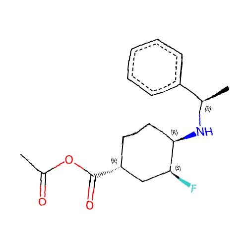 CC(=O)OC(=O)[C@@H]1CC[C@@H](N[C@H](C)c2ccccc2)[C@@H](F)C1